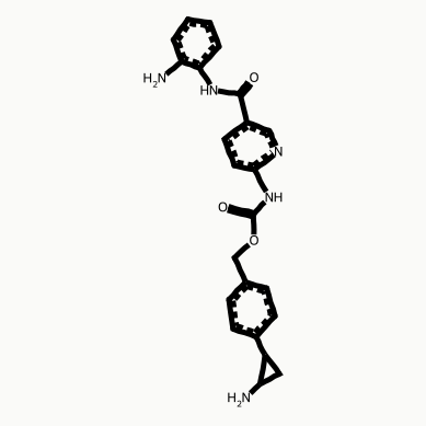 Nc1ccccc1NC(=O)c1ccc(NC(=O)OCc2ccc(C3CC3N)cc2)nc1